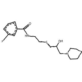 O=C(NCCSCC(O)CN1CCCCC1)c1cccc(F)c1